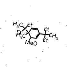 CCC(C)(CC)C1=CC(OC)C(C)(C(C)(CC)CC)C=C1